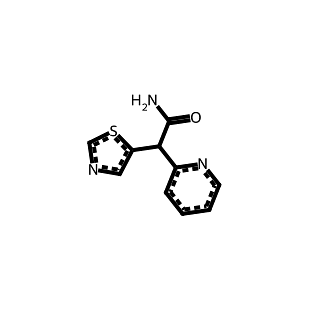 NC(=O)C(c1ccccn1)c1cncs1